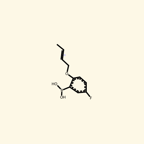 C/C=C/COc1ccc(F)cc1B(O)O